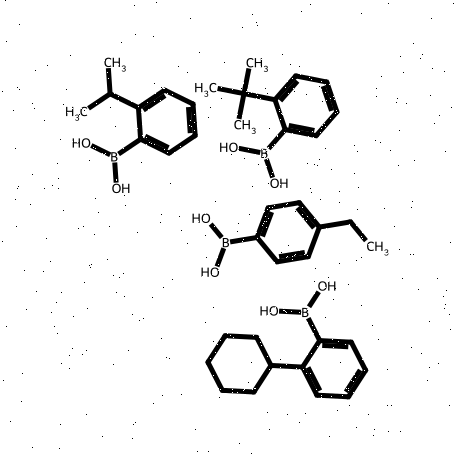 CC(C)(C)c1ccccc1B(O)O.CC(C)c1ccccc1B(O)O.CCc1ccc(B(O)O)cc1.OB(O)c1ccccc1C1CCCCC1